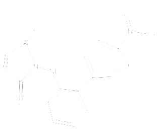 O=C1C=CC(=O)N1Nc1ccccc1-c1ccc([N+](=O)[O-])cc1